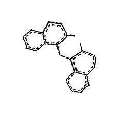 Cc1ccc2ccccc2c1Cc1c(C)ccc2ccccc12